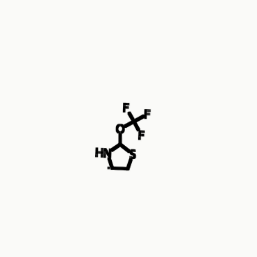 FC(F)(F)OC1N[CH]CS1